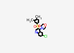 Cc1ccc(S(=O)(=O)c2cnc3ccc(Cl)cc3c2N2CCOCC2)cc1C